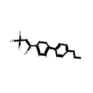 CCCc1ccc(-c2ccc(/C(F)=C/C(F)(F)F)cc2)cc1